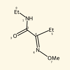 CCNC(=O)/C(CC)=N/OC